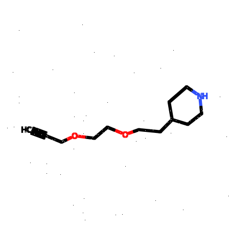 C#CCOCCOCCC1CCNCC1